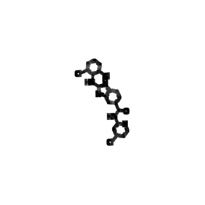 O=C(Nc1cc(Cl)ccn1)c1ccc2[nH]c(Nc3c(Cl)cccc3Cl)nc2c1